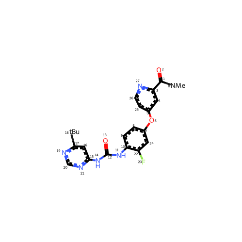 CNC(=O)c1cc(Oc2ccc(NC(=O)Nc3cc(C(C)(C)C)ncn3)c(F)c2)ccn1